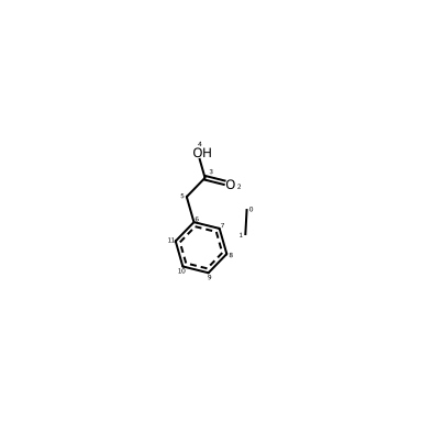 CC.O=C(O)Cc1ccccc1